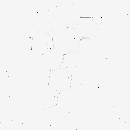 CC(O)N1CCN(C2=Nc3ccccc3Sc3ccccc32)CC1